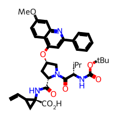 C=CC1C[C@]1(NC(=O)[C@@H]1C[C@H](Oc2cc(-c3ccccc3)nc3cc(OC)ccc23)CN1C(=O)[C@@H](NC(=O)OC(C)(C)C)C(C)C)C(=O)O